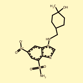 CC1(O)CCC(CNn2cnc3c(S(N)(=O)=O)cc([N+](=O)[O-])cc32)CC1